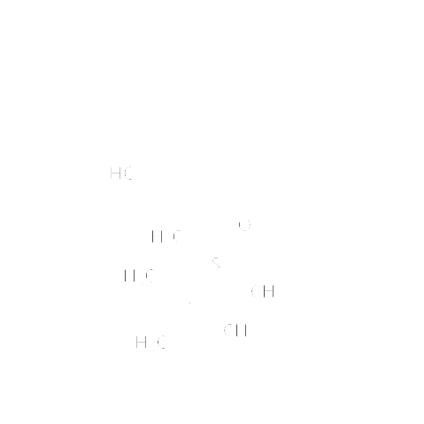 C#C[C@@H](O[Si](C)(C)C(C)(C)C)C1CCCC1